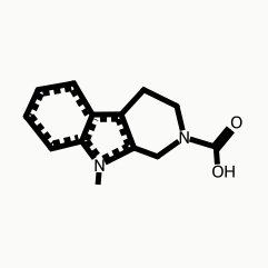 Cn1c2c(c3ccccc31)CCN(C(=O)O)C2